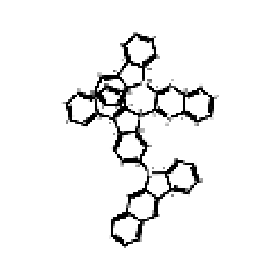 c1ccc2cc3c(cc2c1)c1ccccc1n3-c1ccc2c3c4ccccc4ccc3n(-c3nc4ccccc4nc3-n3c4ccccc4c4ccccc43)c2c1